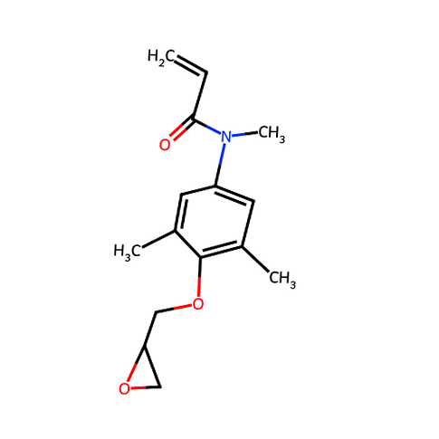 C=CC(=O)N(C)c1cc(C)c(OCC2CO2)c(C)c1